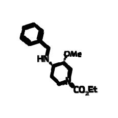 CCOC(=O)N1CC[C@H](NCc2ccccc2)[C@H](OC)C1